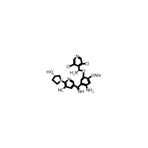 COc1cc(N)c(C(=N)c2cnc(N3CC[C@H](O)C3)c(C#N)c2)cc1O[C@H](N)c1c(Cl)cncc1Cl